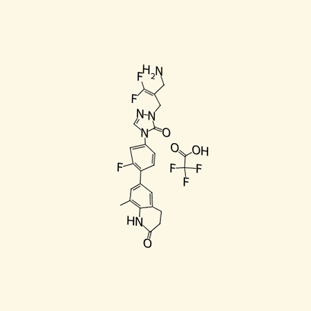 Cc1cc(-c2ccc(-n3cnn(CC(CN)=C(F)F)c3=O)cc2F)cc2c1NC(=O)CC2.O=C(O)C(F)(F)F